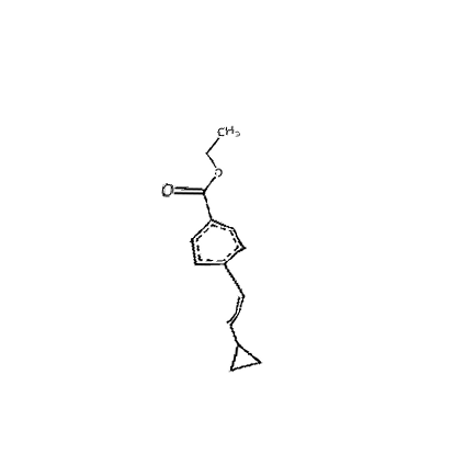 CCOC(=O)c1ccc(C=CC2CC2)cc1